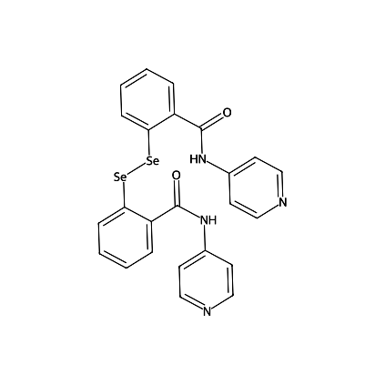 O=C(Nc1ccncc1)c1ccccc1[Se][Se]c1ccccc1C(=O)Nc1ccncc1